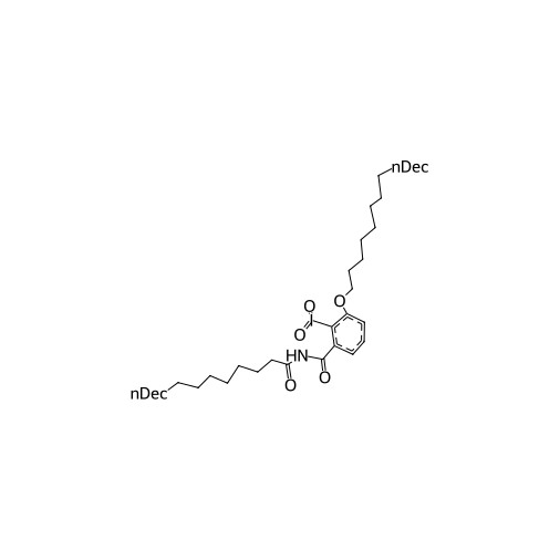 CCCCCCCCCCCCCCCCCCOc1cccc(C(=O)NC(=O)CCCCCCCCCCCCCCCCC)c1I(=O)=O